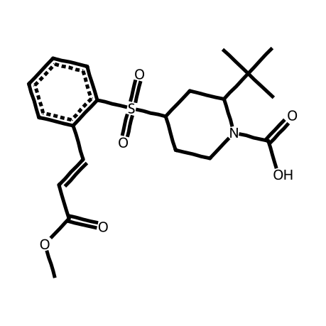 COC(=O)C=Cc1ccccc1S(=O)(=O)C1CCN(C(=O)O)C(C(C)(C)C)C1